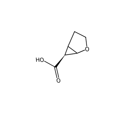 O=C(O)[C@H]1C2CCOC21